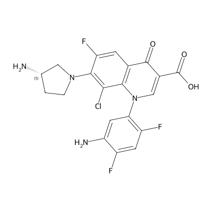 Nc1cc(-n2cc(C(=O)O)c(=O)c3cc(F)c(N4CC[C@H](N)C4)c(Cl)c32)c(F)cc1F